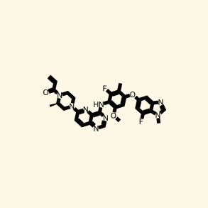 C=CC(=O)N1CCN(c2ccc3ncnc(Nc4c(OC)cc(Oc5cc(F)c6c(c5)ncn6C)c(C)c4F)c3n2)C[C@H]1C